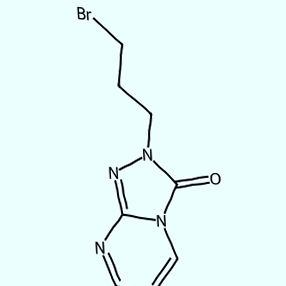 O=c1n(CCCBr)nc2ncccn12